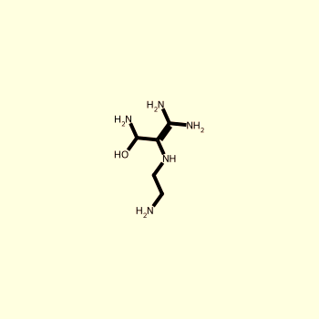 NCCNC(=C(N)N)C(N)O